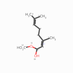 CC(C)=CCC/C(C)=C\C(O)OC(=O)O